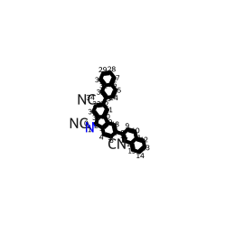 N#CN=C1c2cc(C#N)c(-c3ccc4ccccc4c3)cc2-c2cc(-c3ccc4ccccc4c3)c(C#N)cc21